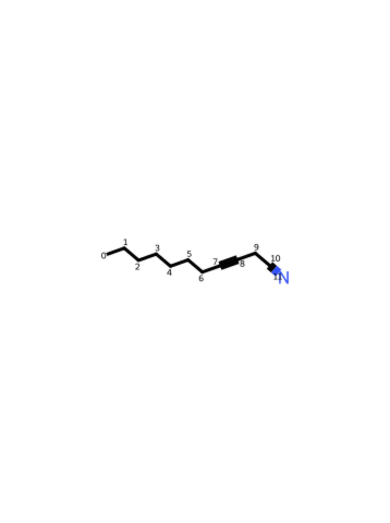 CCCCCCCC#CCC#N